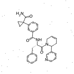 NC(=O)C1(c2cccc(C(=O)N[C@@H](Cc3ccccc3)C(=O)N3CC=CCC3c3cccnc3)c2)CC1